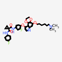 CN(C)CCCCCCOc1cc2nccc(Oc3ccc(NC(=O)C4(C(=O)Nc5ccc(F)cc5)CC4)cc3F)c2c2c1OCCO2